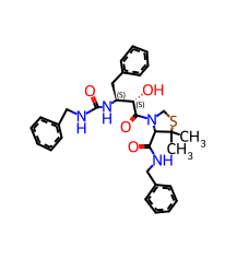 CC1(C)SCN(C(=O)[C@@H](O)[C@H](Cc2ccccc2)NC(=O)NCc2ccccc2)C1C(=O)NCc1ccccc1